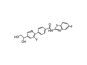 O=C(Nc1nc2cc(F)ccc2s1)c1ccc(-c2ncc(C(O)CO)cc2F)cc1